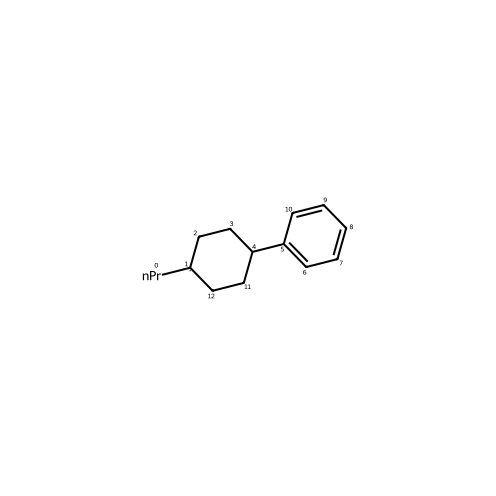 CCC[C]1CCC(c2ccccc2)CC1